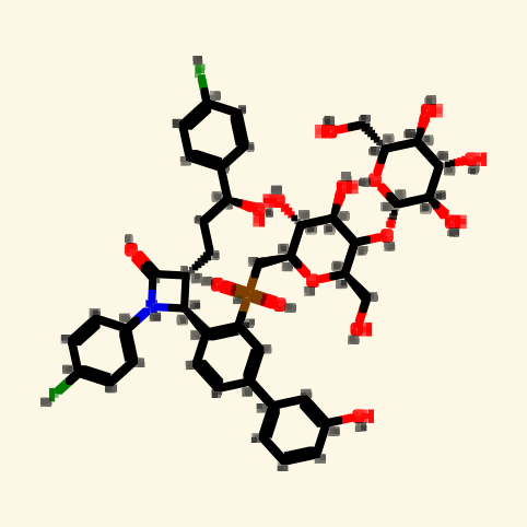 O=C1[C@H](CC[C@H](O)c2ccc(F)cc2)[C@@H](c2ccc(-c3cccc(O)c3)cc2S(=O)(=O)C[C@@H]2O[C@H](CO)C(O[C@@H]3O[C@H](CO)[C@@H](O)[C@H](O)[C@H]3O)[C@H](O)[C@H]2O)N1c1ccc(F)cc1